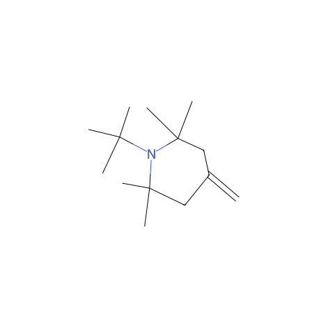 C=C1CC(C)(C)N(C(C)(C)C)C(C)(C)C1